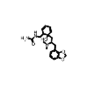 CN(C)C(Cc1cccc2c1OCO2)CC1(O)C=CC=CC1CNC(N)=O